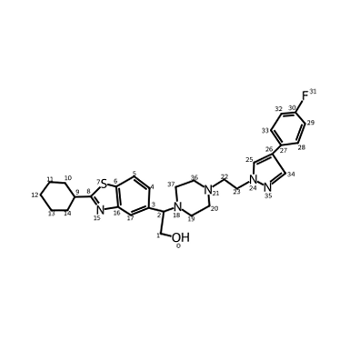 OCC(c1ccc2sc(C3CCCCC3)nc2c1)N1CCN(CCn2cc(-c3ccc(F)cc3)cn2)CC1